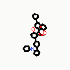 c1ccc(-c2ccc3c(c2)Oc2ccc(-c4ccc5c6ccccc6n(-c6ccccc6)c5c4)cc2C32c3ccccc3Oc3ccccc32)cc1